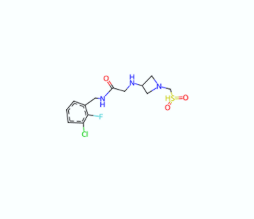 O=C(CNC1CN(C[SH](=O)=O)C1)NCc1cccc(Cl)c1F